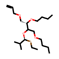 C=CCOC[C@H](OCCCC)C(COCCCC)O[C@@H](SCC)C(C)C